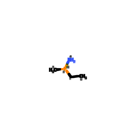 CC[P@@](C)N